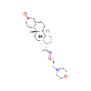 C/C(=N\OCCN1CCOCC1)[C@H]1CC[C@H]2[C@@H]3CCC4=CC(=O)CC[C@]4(C)[C@H]3CC[C@]12C